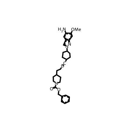 COc1cc2nn(C3CCC(COCCC4CCN(C(=O)OCc5ccccc5)CC4)CC3)cc2cc1N